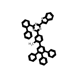 Cc1cc(-c2nc(-c3cc4ccccc4s3)nc(-c3ccccc3-c3ccccc3)n2)ccc1-c1cc(-c2ccccc2)c(-c2ccccc2)c(-c2ccccc2)c1